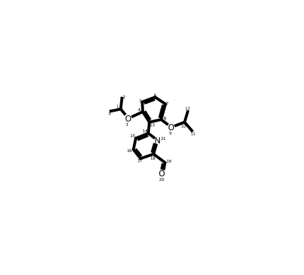 CC(C)Oc1cccc(OC(C)C)c1-c1cccc(C=O)n1